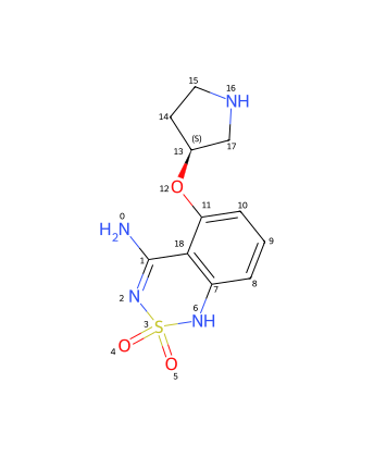 NC1=NS(=O)(=O)Nc2cccc(O[C@H]3CCNC3)c21